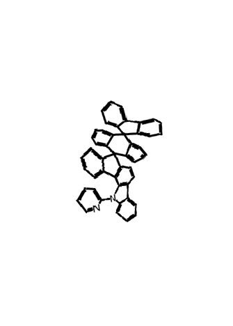 c1ccc(-n2c3ccccc3c3ccc4c(c32)-c2ccccc2C42c3ccccc3C3(c4ccccc4-c4ccccc43)c3ccccc32)nc1